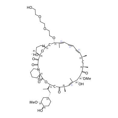 CO[C@@H]1C[C@H](CC(C)[C@@H]2CC(=O)[C@H](C)/C=C(\C)[C@@H](O)[C@@H](OC)C(=O)[C@H](C)C[C@H](C)/C=C/C=C/C=C(\C)[C@@H](OCCOCCOCCO)C[C@@H]3CC[C@@H](C)[C@@](O)(O3)C(=O)C(=O)N3CCCC[C@H]3C(=O)O2)CC[C@H]1O